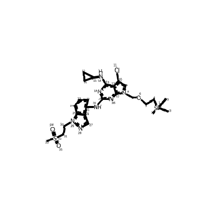 C[Si](C)(C)CCOCn1cc(Cl)c2c(NC3CC3)nc(Nc3cccc4c3cnn4CCS(C)(=O)=O)nc21